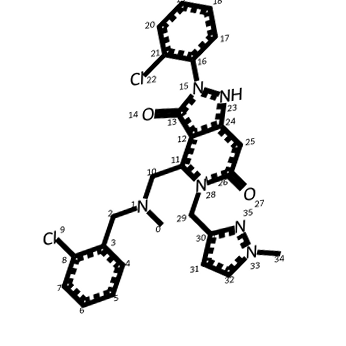 CN(Cc1ccccc1Cl)Cc1c2c(=O)n(-c3ccccc3Cl)[nH]c2cc(=O)n1Cc1ccn(C)n1